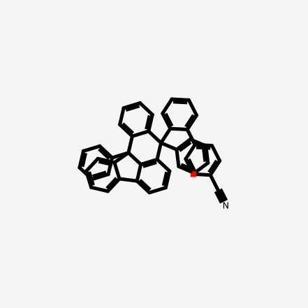 N#Cc1ccc(-c2ccccc2C2(c3ccccc3)c3ccccc3C3(c4ccccc4)c4ccccc4-c4cccc2c43)cc1